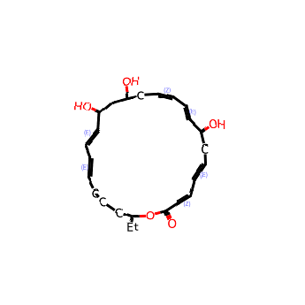 CCC1CCC/C=C/C=C/C(O)CC(O)C/C=C\C=C\C(O)C/C=C/C=C\C(=O)O1